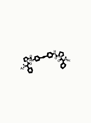 CC(=O)N(C)C(C(=O)N1CCC[C@H]1C(=O)Nc1ccc(C#Cc2ccc(NC(=O)[C@@H]3CCCN3C(=O)C(c3ccccc3)N(C)C(C)=O)cc2)cc1)c1ccccc1